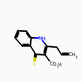 C=CCc1[nH]c2ccccc2c(=S)c1C(=O)O